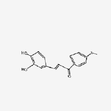 CSc1ccc(C(=O)C=Cc2ccc(O)c(O)c2)cc1